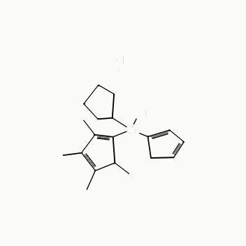 CC1=C(C)C(C)[C]([Zr+2]([SiH3])([C]2=CC=CC2)[CH]2CCCC2)=C1C.[Cl-].[Cl-]